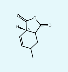 CC1C=C[C@@H]2C(=O)OC(=O)C2C1